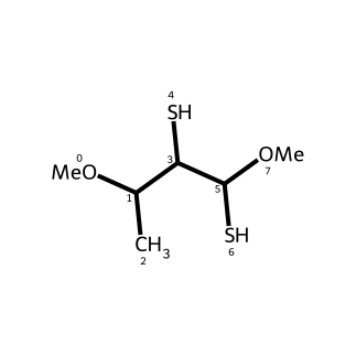 COC(C)C(S)C(S)OC